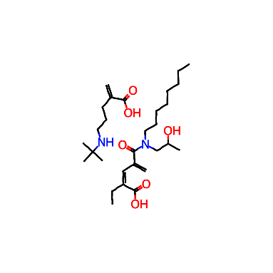 C=C(C=C(CC)C(=O)O)C(=O)N(CCCCCCCC)CC(C)O.C=C(CCCNC(C)(C)C)C(=O)O